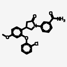 COc1ccc(C2CC(=O)N(c3cccc(C(N)=O)c3)C2)c(Oc2ccccc2Cl)c1